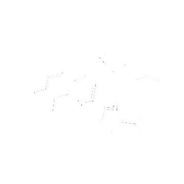 C=CCCCN(C)Oc1cc(-c2nc(C(C)C)cs2)nc2c(C)c(OC)ccc12